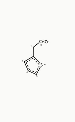 O=[C]Cc1cccs1